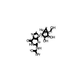 CC(C)C(=O)Nc1nc2c(ncn2[C@H]2[C@H](O)[C@H](O)[C@@]3(CO)C[C@H]23)c(=O)[nH]1